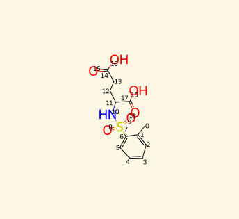 Cc1ccccc1S(=O)(=O)NC(CCC(=O)O)C(=O)O